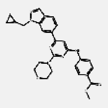 COC(=O)c1ccc(Nc2cc(-c3ccc4cnn(CC5CC5)c4c3)nc(N3CCOCC3)n2)cc1